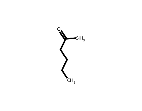 CCCCC(=O)[SiH3]